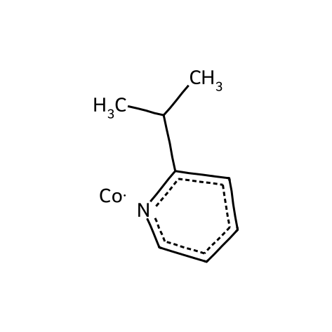 CC(C)c1ccccn1.[Co]